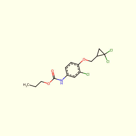 CCCOC(=O)Nc1ccc(OCC2CC2(Cl)Cl)c(Cl)c1